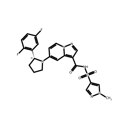 Cn1cc(S(=O)(=O)NC(=O)c2cnn3ccc(N4CCC[C@@H]4c4cc(F)ccc4F)cc23)cn1